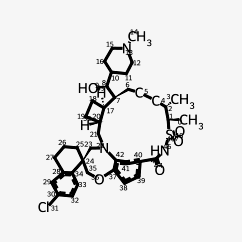 C[C@@H]1[C@@H](C)CCC[C@H]([C@@H](O)C2CCN(C)CC2)[C@@H]2CC[C@H]2CN2C[C@@]3(CCCc4cc(Cl)ccc43)COc3ccc(cc32)C(=O)NS1(=O)=O